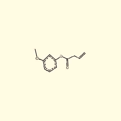 C=CCC(=O)Oc1cccc(OC)c1